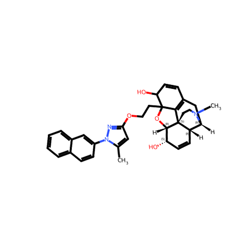 Cc1cc(OCCC23O[C@H]4[C@@H](O)C=C[C@H]5[C@H]6CC(=C2[C@]54CCN6C)C=CC3O)nn1-c1ccc2ccccc2c1